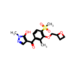 Cc1c(C(=O)c2cnn(C)c2O)ccc(S(C)(=O)=O)c1OCC1CCO1